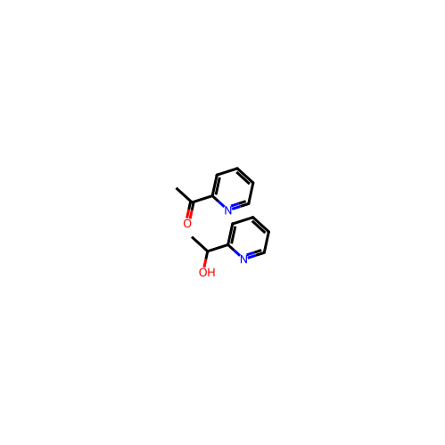 CC(=O)c1ccccn1.CC(O)c1ccccn1